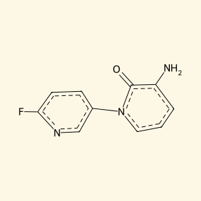 Nc1cccn(-c2ccc(F)nc2)c1=O